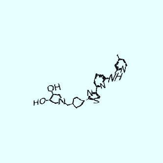 Cc1ccnc(Nc2cccc(-c3csc([C@H]4CC[C@H](CN5C[C@@H](O)[C@@H](O)C5)CC4)n3)n2)c1